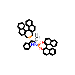 C[C@H](Np1oc2ccc3ccccc3c2c2c(ccc3ccccc32)o1)[C@H](c1ccccc1)P1CC2=C(c3c(ccc4ccccc34)C1)C1CC=CC=C1C=C2